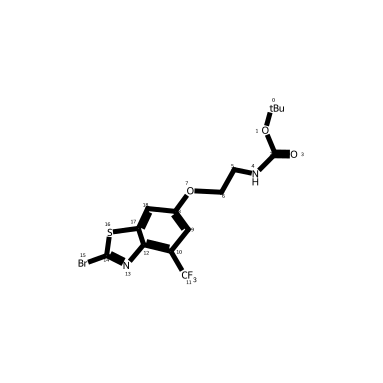 CC(C)(C)OC(=O)NCCOc1cc(C(F)(F)F)c2nc(Br)sc2c1